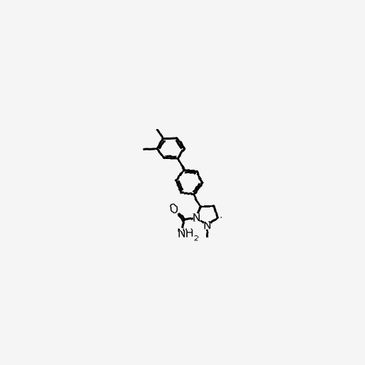 Cc1ccc(-c2ccc(C3C[CH]N(C)N3C(N)=O)cc2)cc1C